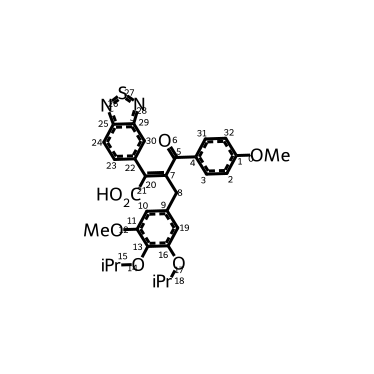 COc1ccc(C(=O)C(Cc2cc(OC)c(OC(C)C)c(OC(C)C)c2)=C(C(=O)O)c2ccc3nsnc3c2)cc1